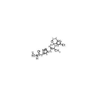 CCc1cc2c(s1)CCO[C@@]21CCN(Cc2cn(CC(=O)NC3CC3)nn2)[C@@H](C)C1